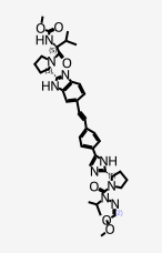 COO/C=N\N(C(=O)N1CCC[C@H]1c1ncc(-c2ccc(C#Cc3ccc4nc([C@@H]5CCCN5C(=O)[C@@H](NC(=O)OC)C(C)C)[nH]c4c3)cc2)[nH]1)C(C)C